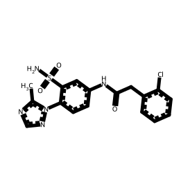 Cc1ncnn1-c1ccc(NC(=O)Cc2ccccc2Cl)cc1S(N)(=O)=O